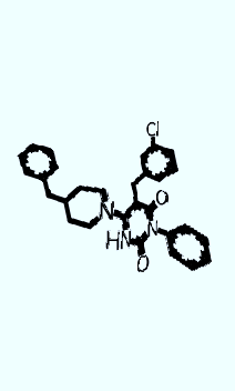 O=c1[nH]c(N2CCC(Cc3ccccc3)CC2)c(Cc2cccc(Cl)c2)c(=O)n1-c1ccccc1